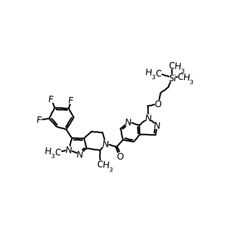 CC1c2nn(C)c(-c3cc(F)c(F)c(F)c3)c2CCN1C(=O)c1cnc2c(cnn2COCC[Si](C)(C)C)c1